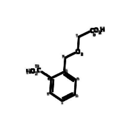 O=C(O)COCc1ccccc1C(=O)O